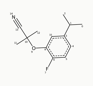 CC(C)c1ccc(F)c(OC(C)(C)C#N)c1